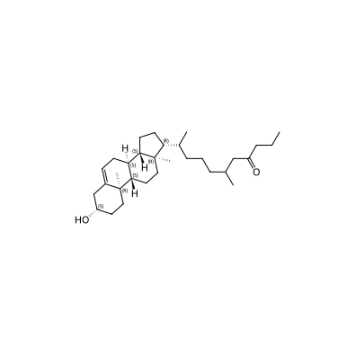 CCCC(=O)CC(C)CCCC(C)[C@H]1CC[C@H]2[C@@H]3CC=C4C[C@@H](O)CC[C@]4(C)[C@H]3CC[C@]12C